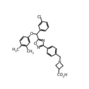 Cc1ccc(OC(c2cccc(Cl)c2)c2nc(-c3ccc(CN4CC(C(=O)O)C4)cc3)no2)cc1C